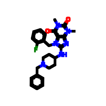 Cn1c(=O)c2c(nc(NC3CCN(Cc4ccccc4)CC3)n2Cc2ccccc2F)n(C)c1=O